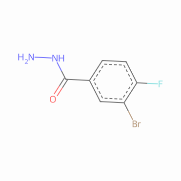 NNC(=O)c1ccc(F)c(Br)c1